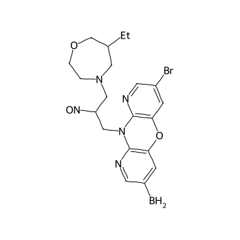 Bc1cnc2c(c1)Oc1cc(Br)cnc1N2CC(CN1CCOCC(CC)C1)N=O